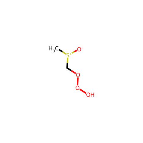 C[S+]([O-])COOO